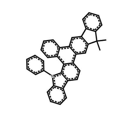 CC1(C)c2ccccc2-c2cc3c4ccccc4c4c(ccc5c6ccccc6n(-c6ccccc6)c54)c3cc21